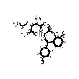 CCC[C@H](C(=O)N[C@H]1N=C(c2ccc(Cl)cc2)c2cccc(Cl)c2NC1=O)[C@@H](CCC(F)(F)F)C(N)=O